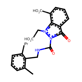 Cc1cccc(C(C)C)c1CNC(=O)n1c(=O)c2cccc(C(=O)O)c2n1CC(=O)O